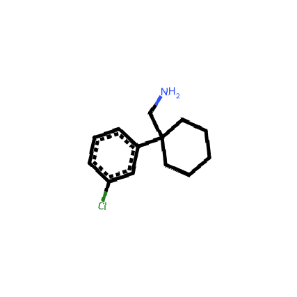 NCC1(c2cccc(Cl)c2)CCCCC1